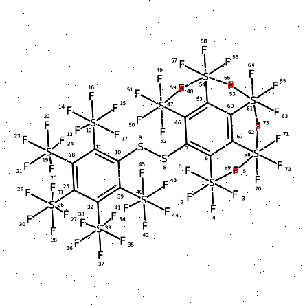 FS(F)(F)(F)(F)c1c(SSc2c(S(F)(F)(F)(F)F)c(S(F)(F)(F)(F)F)c(S(F)(F)(F)(F)F)c(S(F)(F)(F)(F)F)c2S(F)(F)(F)(F)F)c(S(F)(F)(F)(F)F)c(S(F)(F)(F)(F)F)c(S(F)(F)(F)(F)F)c1S(F)(F)(F)(F)F